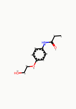 CCC(=O)Nc1ccc(OCCO)cc1